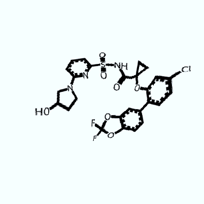 O=C(NS(=O)(=O)c1cccc(N2CCC(O)C2)n1)C1(Oc2cc(Cl)ccc2-c2ccc3c(c2)OC(F)(F)O3)CC1